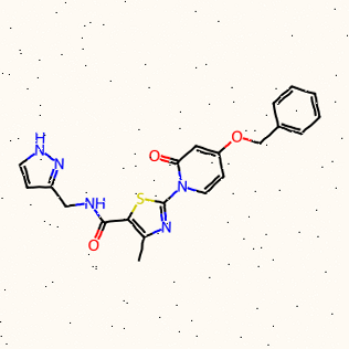 Cc1nc(-n2ccc(OCc3ccccc3)cc2=O)sc1C(=O)NCc1cc[nH]n1